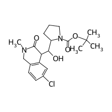 CN1Cc2ccc(Cl)cc2C(C(O)C2CCCN2C(=O)OC(C)(C)C)C1=O